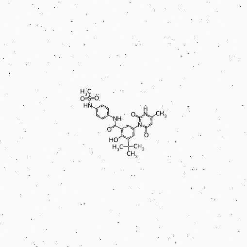 Cc1cc(=O)n(-c2cc(C(=O)Nc3ccc(NS(C)(=O)=O)cc3)c(O)c(C(C)(C)C)c2)c(=O)[nH]1